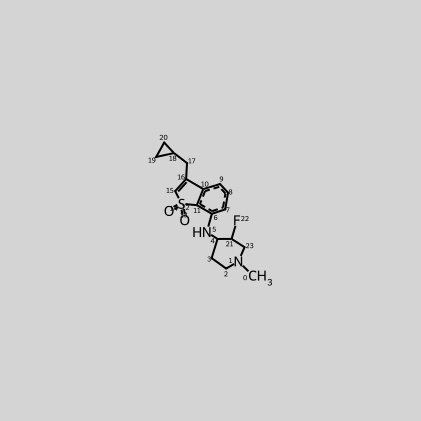 CN1CCC(Nc2cccc3c2S(=O)(=O)C=C3CC2CC2)C(F)C1